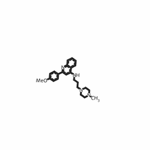 COc1ccc(-c2cc(NCCCN3CCN(C)CC3)c3ccccc3n2)cc1